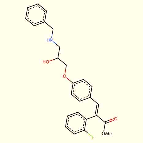 COC(=O)C(=Cc1ccc(OCC(O)CNCc2ccccc2)cc1)c1ccccc1F